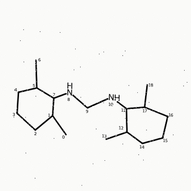 CC1CCCC(C)C1NCNC1C(C)CCCC1C